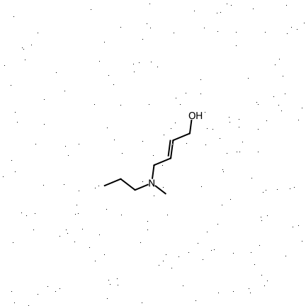 CCCN(C)CC=CCO